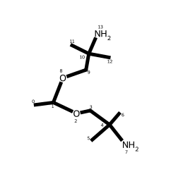 CC(OCC(C)(C)N)OCC(C)(C)N